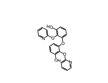 Oc1cccc(Oc2cccc(O)c2Oc2ccccn2)c1Oc1ccccn1